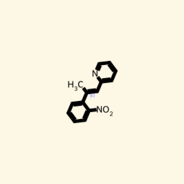 C/C(=C\c1ccccn1)c1ccccc1[N+](=O)[O-]